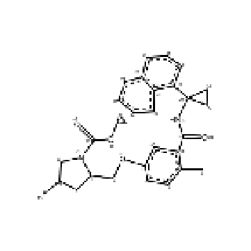 Cc1ccc(OCC2CC(F)CN2C(=O)OC(C)(C)C)cc1C(=O)NC1(c2cccc3ccccc23)CC1